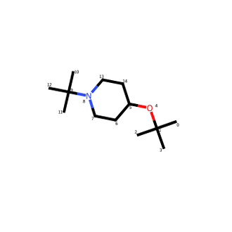 CC(C)(C)OC1CCN(C(C)(C)C)CC1